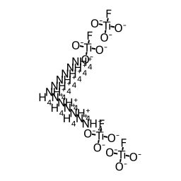 [NH4+].[NH4+].[NH4+].[NH4+].[NH4+].[NH4+].[NH4+].[NH4+].[NH4+].[NH4+].[NH4+].[NH4+].[O-][Ti]([O-])([O-])[F].[O-][Ti]([O-])([O-])[F].[O-][Ti]([O-])([O-])[F].[O-][Ti]([O-])([O-])[F]